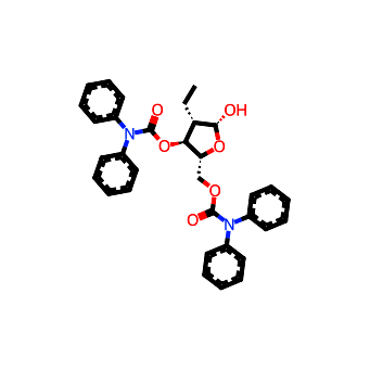 CC[C@H]1[C@H](OC(=O)N(c2ccccc2)c2ccccc2)[C@@H](COC(=O)N(c2ccccc2)c2ccccc2)O[C@H]1O